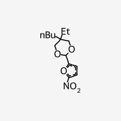 CCCCC1(CC)COC(c2ccc([N+](=O)[O-])o2)OC1